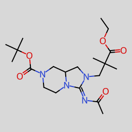 CCOC(=O)C(C)(C)CN1CC2CN(C(=O)OC(C)(C)C)CCN2C1=NC(C)=O